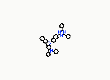 c1ccc(-c2nc(-c3ccccc3)nc(-c3ccc4cc(-n5c6cc7ccccc7cc6c6cc7c8ccccc8n(-c8ccccc8)c7cc65)ccc4c3)n2)cc1